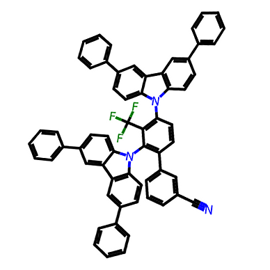 N#Cc1cccc(-c2ccc(-n3c4ccc(-c5ccccc5)cc4c4cc(-c5ccccc5)ccc43)c(C(F)(F)F)c2-n2c3ccc(-c4ccccc4)cc3c3cc(-c4ccccc4)ccc32)c1